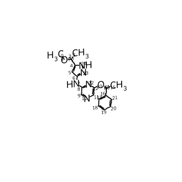 CO[C@@H](C)c1cc(Nc2cncc(O[C@@H](C)c3ccccc3)n2)n[nH]1